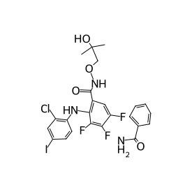 CC(C)(O)CONC(=O)c1cc(F)c(F)c(F)c1Nc1ccc(I)cc1Cl.NC(=O)c1ccccc1